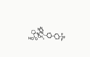 CN(C1=C(C(=O)O)CCC1)c1nncn1Cc1ccc(-c2ccc(C(F)(F)F)cc2)cc1